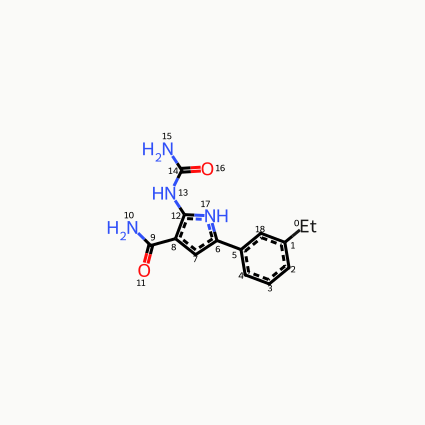 CCc1cccc(-c2cc(C(N)=O)c(NC(N)=O)[nH]2)c1